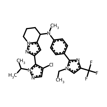 CCn1cc(C(F)(F)F)nc1-c1ccc(N(C)C2CCCn3nc(-c4c(Cl)cnn4C(C)C)cc32)cc1